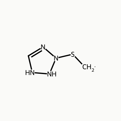 [CH2]SN1N=CNN1